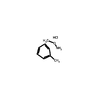 CON.Cc1ccccc1.Cl